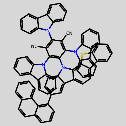 N#Cc1c(-n2c3ccccc3c3ccccc32)c(C#N)c(-n2c3ccccc3c3ccccc32)c(-n2c3ccc(-c4cccc5ccc6ccccc6c45)cc3c3ccc4c5ccccc5sc4c32)c1-n1c2ccccc2c2ccccc21